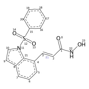 O=C(/C=C/c1cccc2ccn(S(=O)(=O)c3ccccc3)c12)NO